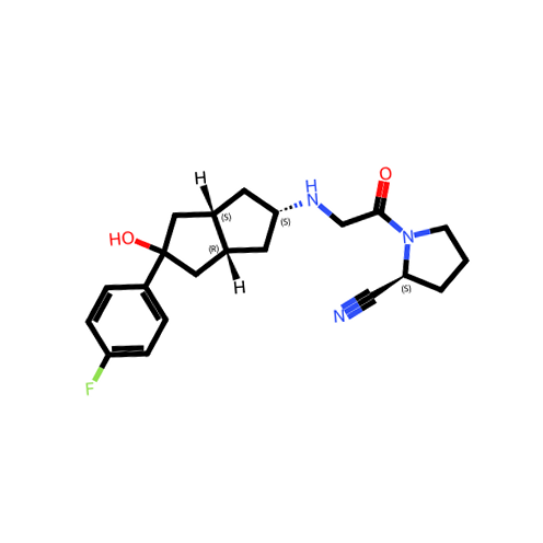 N#C[C@@H]1CCCN1C(=O)CN[C@@H]1C[C@@H]2CC(O)(c3ccc(F)cc3)C[C@@H]2C1